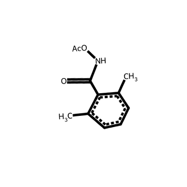 CC(=O)ONC(=O)c1c(C)cccc1C